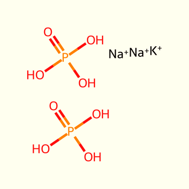 O=P(O)(O)O.O=P(O)(O)O.[K+].[Na+].[Na+]